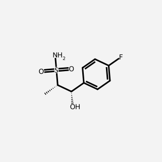 C[C@@H]([C@@H](O)c1ccc(F)cc1)S(N)(=O)=O